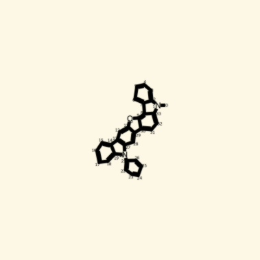 Cn1c2ccccc2c2c3oc4cc5c6ccccc6n(-c6ccccc6)c5cc4c3ccc21